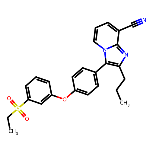 CCCc1nc2c(C#N)cccn2c1-c1ccc(Oc2cccc(S(=O)(=O)CC)c2)cc1